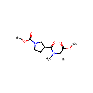 CC(C)[C@@H](C(=O)OC(C)(C)C)N(C)C(=O)[C@H]1CCN(C(=O)OC(C)(C)C)C1